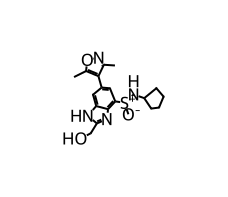 Cc1noc(C)c1-c1cc([S+]([O-])NC2CCCC2)c2nc(CO)[nH]c2c1